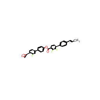 C/C=C/c1ccc(-c2ccc(C(=O)Oc3ccc(-c4ccc(C5CO5)c(F)c4)cc3)c(F)c2F)cc1